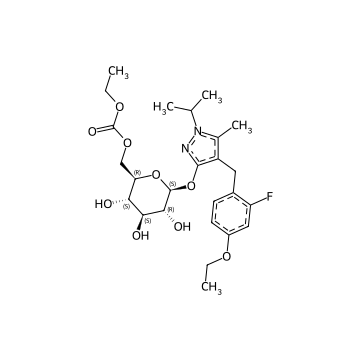 CCOC(=O)OC[C@H]1O[C@@H](Oc2nn(C(C)C)c(C)c2Cc2ccc(OCC)cc2F)[C@H](O)[C@@H](O)[C@@H]1O